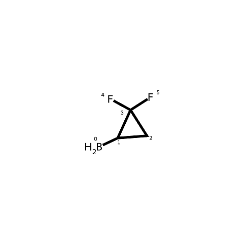 BC1CC1(F)F